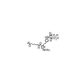 CC(=O)Nc1nc(CCc2ccc(NC(NC(=O)O)NC(=O)O)cc2)c(C(=O)NCCCCCC(=O)N(C)C)s1